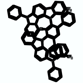 CCc1c(-n2c3ccccc3c3ccc4c(c32)C2C=CC=CC2N4c2ccccc2)c(-c2cccc(C(F)(F)F)c2)cc(-c2cccc(C(F)(F)F)c2)c1-n1c2ccccc2c2ccc3c(c4ccccc4n3-c3ccccc3)c21